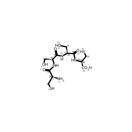 N[C@@H](CS)C(=O)N[C@@H](CO)C(=O)N[C@@H](CO)C(=O)N[C@@H](CS)C(=O)O